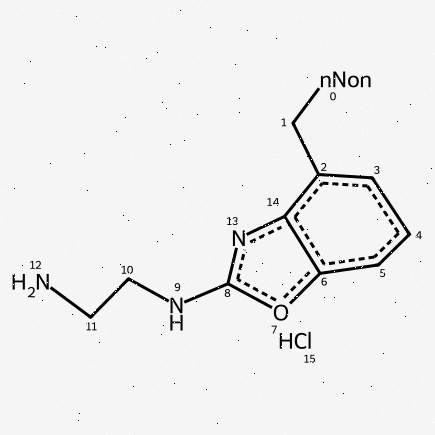 CCCCCCCCCCc1cccc2oc(NCCN)nc12.Cl